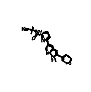 CC(C)(C#N)NC(=O)c1cccc(-c2cnc3[nH]c(C4=CCSCC4)cc3c2)n1